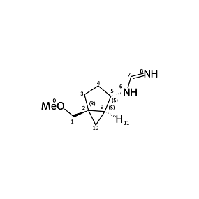 COC[C@@]12CC[C@H](NC=N)[C@H]1C2